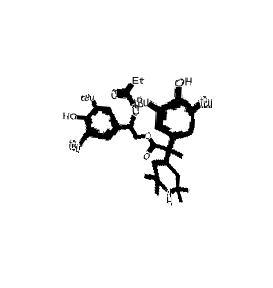 CCC(=O)OC(COC(=O)C(C)(c1cc(C(C)(C)C)c(O)c(C(C)(C)C)c1)C1CC(C)(C)NC(C)(C)C1)c1cc(C(C)(C)C)c(O)c(C(C)(C)C)c1